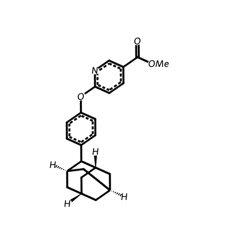 COC(=O)c1ccc(Oc2ccc(C3[C@H]4C[C@@H]5C[C@@H](C[C@H]3C5)C4)cc2)nc1